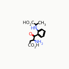 CC(Nc1ccccc1C(=O)C(N)CC(=O)O)C(=O)O